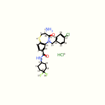 Cl.N[C@H]1CSc2ccc(C(=O)NC3CCC(F)(F)CC3)cc2N(Cc2ccc(Cl)cc2)C1=O